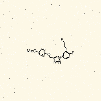 COc1cnc(OCc2cn(-c3ccc(F)c(CCCF)c3)nn2)nc1